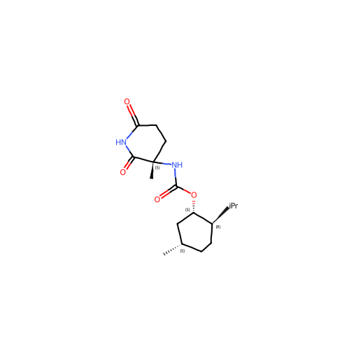 CC(C)[C@H]1CC[C@H](C)C[C@@H]1OC(=O)N[C@@]1(C)CCC(=O)NC1=O